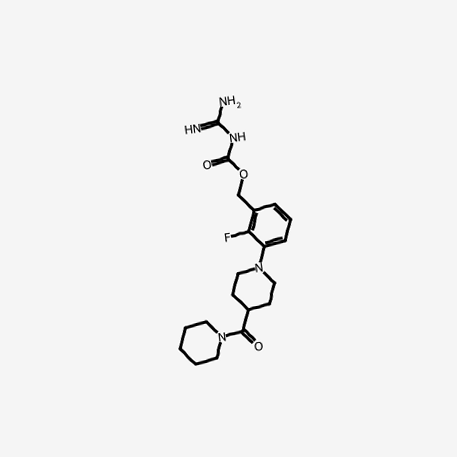 N=C(N)NC(=O)OCc1cccc(N2CCC(C(=O)N3CCCCC3)CC2)c1F